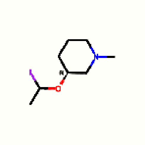 CC(I)O[C@@H]1CCCN(C)C1